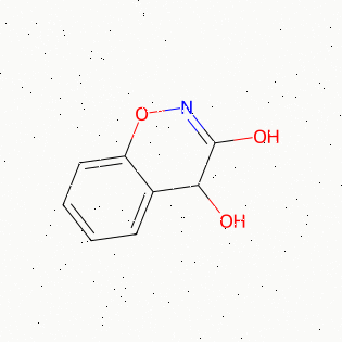 OC1=NOc2ccccc2C1O